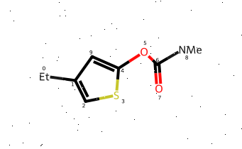 CCc1csc(OC(=O)NC)c1